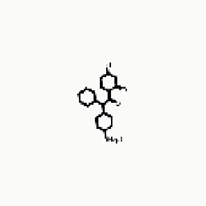 CCCCCCCC1CCC(C(C(=O)C2CCC(CC)CC2=O)C2CCCCC2)CC1